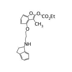 CCOC(=O)Oc1oc2cccc(OCCCNC3CCc4ccccc43)c2c1C